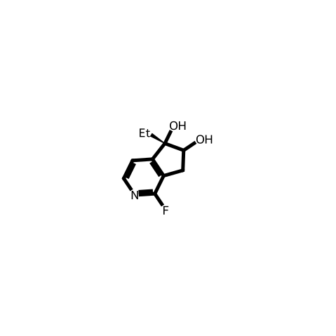 CC[C@]1(O)c2ccnc(F)c2CC1O